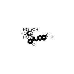 Cc1ccc2cc(Cc3cn([C@@H]4O[C@H](CO)[C@@H](O)[C@H](O)[C@H]4O)c4cccc(Cl)c34)ccc2c1